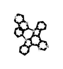 c1ccc(-n2c3ccccc3c3c4ncncc4c4c5ccccc5n(-c5ccc6ccccc6n5)c4c32)cc1